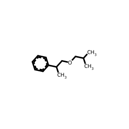 CC(C)COCC(C)c1ccccc1